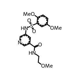 COCCNC(=O)c1cncc(NS(=O)(=O)c2cc(OC)ccc2OC)c1